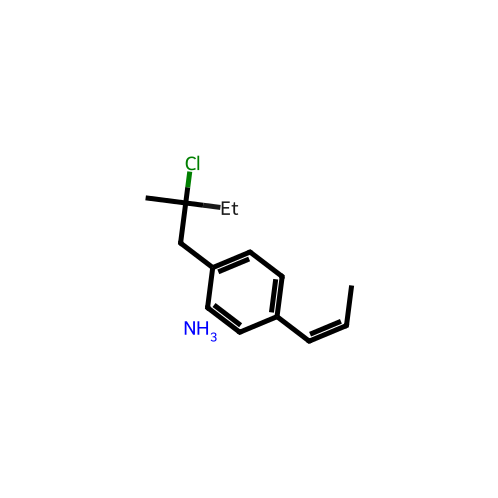 C/C=C\c1ccc(CC(C)(Cl)CC)cc1.N